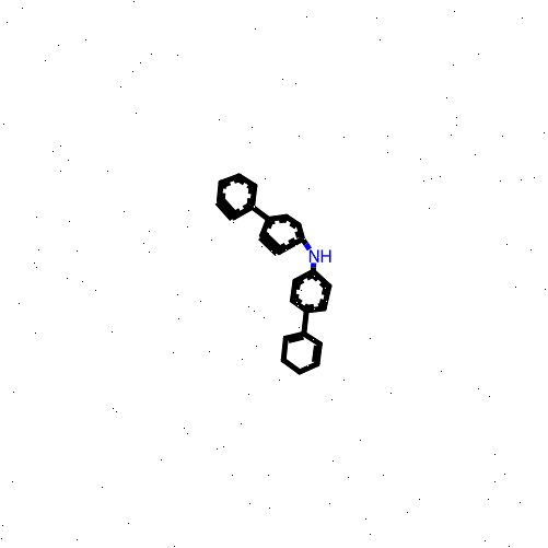 c1cccc(-c2c#cc(Nc3ccc(C4=CCCC=C4)cc3)cc2)c#1